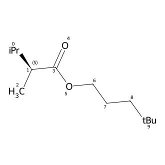 CC(C)[C@H](C)C(=O)OCCCC(C)(C)C